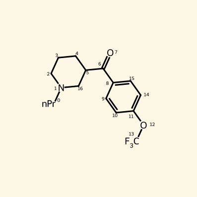 CCCN1CCCC(C(=O)c2ccc(OC(F)(F)F)cc2)C1